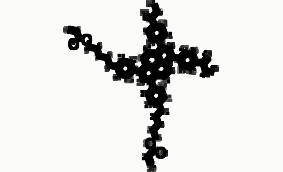 C=CC(=O)OCCCCCc1ccc(-c2cc(-c3ccc(CCCCCOC(=O)C=C)cc3)c3ccc4c(-c5ccc(C(=C)CC)cc5)cc(-c5ccc(C(=C)CC)cc5)c5ccc2c3c54)cc1